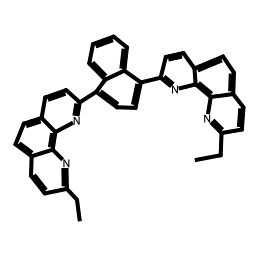 CCc1ccc2ccc3ccc(-c4ccc(-c5ccc6ccc7ccc(CC)nc7c6n5)c5ccccc45)nc3c2n1